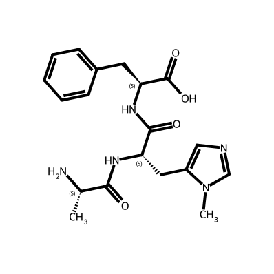 C[C@H](N)C(=O)N[C@@H](Cc1cncn1C)C(=O)N[C@@H](Cc1ccccc1)C(=O)O